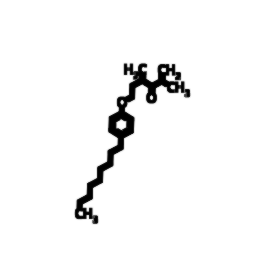 C=C(C)C(=O)C(=C)CCOc1ccc(CCCCCCCCC)cc1